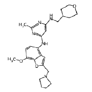 COc1ccc(Nc2cc(NCC3CCOCC3)nc(C)n2)c2cc(CN3CCCC3)oc12